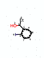 CCC(O)c1ccccc1I